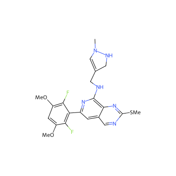 COc1cc(OC)c(F)c(-c2cc3cnc(SC)nc3c(NCC3=CN(C)NC3)n2)c1F